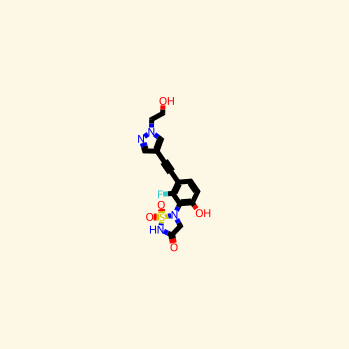 O=C1CN(c2c(O)ccc(C#Cc3cnn(CCO)c3)c2F)S(=O)(=O)N1